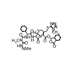 CNNC(=O)N(C)C(=O)NC(C(=O)NC1C(=O)N2C(C(=O)OC3OC(=O)c4ccccc43)=C(CSc3nnnn3C)CS[C@@H]12)c1ccccc1